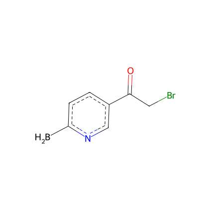 Bc1ccc(C(=O)CBr)cn1